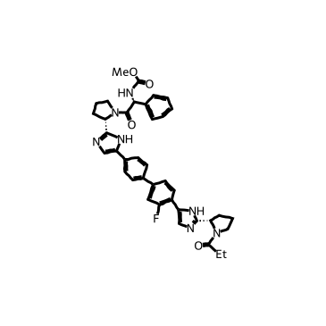 CCC(=O)N1CCC[C@H]1c1ncc(-c2ccc(-c3ccc(-c4cnc([C@@H]5CCCN5C(=O)[C@H](NC(=O)OC)c5ccccc5)[nH]4)cc3)cc2F)[nH]1